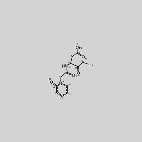 O=C(O)CC(NC(=O)Cn1ccccc1=O)C(=O)CF